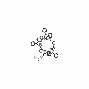 CC1(C)CCCCC(=O)CN(CC(c2ccccc2)c2ccccc2)C(=O)CCN(CC(c2ccccc2)c2ccccc2)C(C)(C)C(=O)CN(CCCN)C(=O)CN1CC(c1ccccc1)c1ccccc1